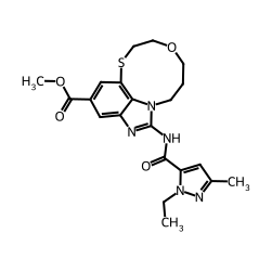 CCn1nc(C)cc1C(=O)Nc1nc2cc(C(=O)OC)cc3c2n1CCCOCCS3